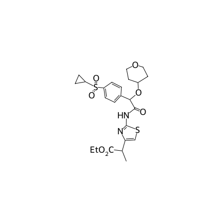 CCOC(=O)C(C)c1csc(NC(=O)C(OC2CCOCC2)c2ccc(S(=O)(=O)C3CC3)cc2)n1